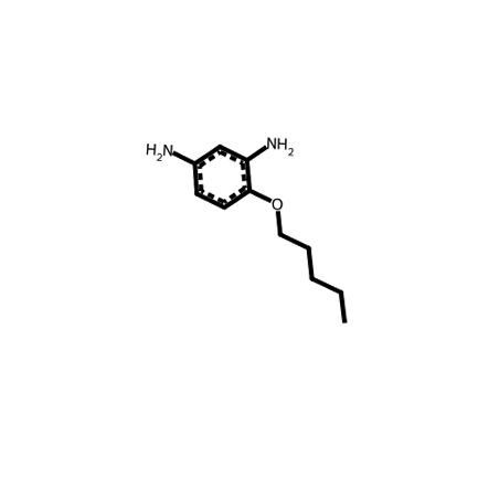 CCCCCOc1ccc(N)cc1N